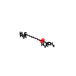 CC(C)CCCCCCCCCCCCCCCOC(=O)CCCCC(C)C